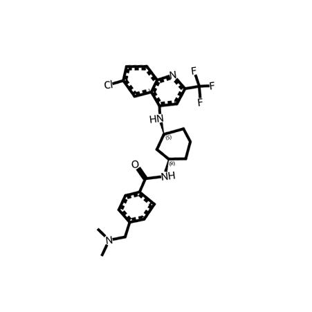 CN(C)Cc1ccc(C(=O)N[C@@H]2CCC[C@H](Nc3cc(C(F)(F)F)nc4ccc(Cl)cc34)C2)cc1